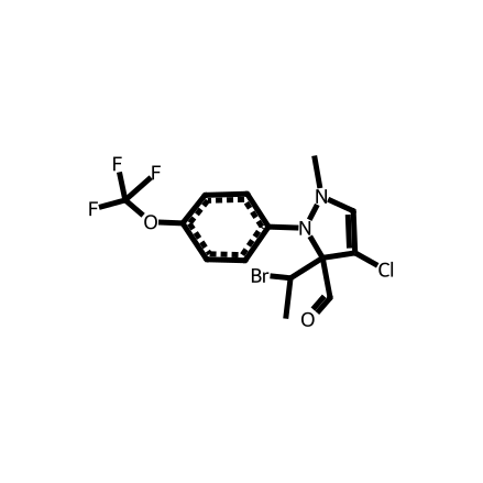 CC(Br)C1(C=O)C(Cl)=CN(C)N1c1ccc(OC(F)(F)F)cc1